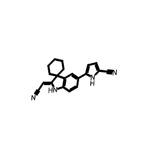 N#CC=C1Nc2ccc(-c3ccc(C#N)[nH]3)cc2C12CCCCC2